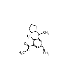 C=Cc1cc(C(=O)OC)c(C)c(N(C)C2CCCC2)c1